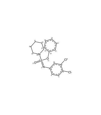 O=S(=Nc1ccc(Cl)c(Cl)c1)(Oc1ccccc1)N1CCCCC1